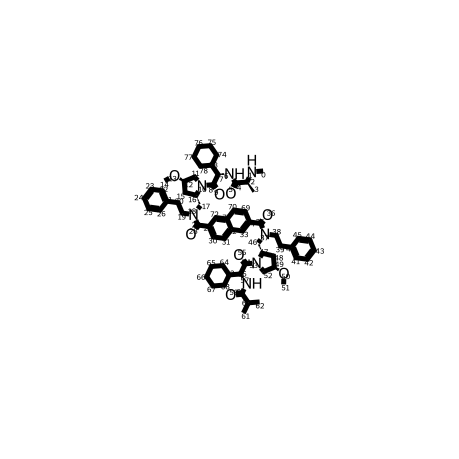 CN[C@@H](C)C(=O)N[C@H](C(=O)N1C[C@H](OC)C[C@H]1CN(CCc1ccccc1)C(=O)c1ccc2cc(C(=O)N(CCc3ccccc3)C[C@@H]3C[C@@H](OC)CN3C(=O)[C@@H](NC(=O)C(C)C)C3CCCCC3)ccc2c1)C1CCCCC1